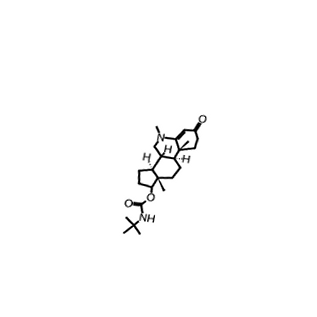 CN1C[C@@H]2[C@H](CC[C@]3(C)C(OC(=O)NC(C)(C)C)CC[C@@H]23)[C@@]2(C)CCC(=O)C=C12